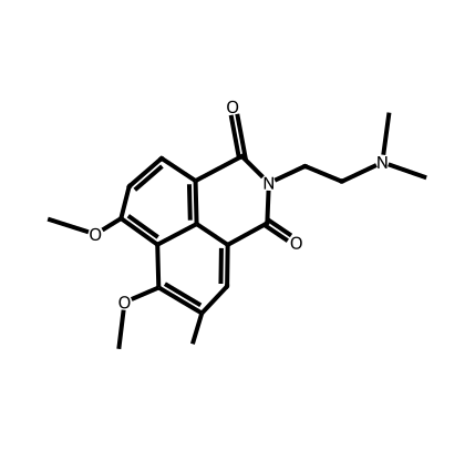 COc1ccc2c3c(cc(C)c(OC)c13)C(=O)N(CCN(C)C)C2=O